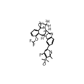 [2H]C([2H])([2H])N1C(=O)c2cccc(OC(F)F)c2[C@H]2C[C@@H]1c1nc3ccc(-c4cc(F)c(P(C)(C)=O)c(C)n4)cc3n12